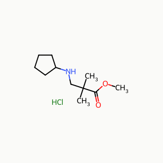 COC(=O)C(C)(C)CNC1CCCC1.Cl